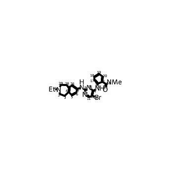 CCN1CCc2ccc(Nc3ncc(Br)c(Nc4ccccc4C(=O)NC)n3)cc2CC1